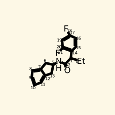 CCC(C(=O)NC1Cc2ccccc2C1)c1ccc(F)cc1F